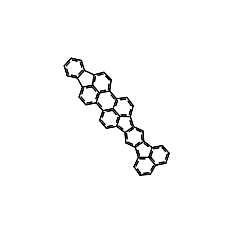 c1ccc2c(c1)-c1ccc3c4ccc5c6cc7c(cc6c6ccc(c8ccc-2c1c38)c4c56)c1cccc2cccc7c21